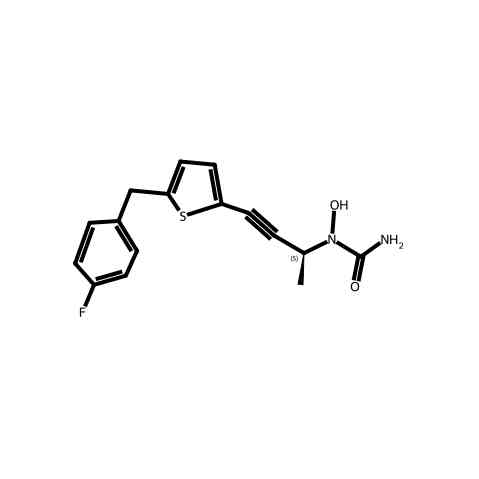 C[C@@H](C#Cc1ccc(Cc2ccc(F)cc2)s1)N(O)C(N)=O